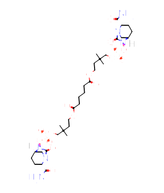 CC(C)(CCOC(=O)CCCCC(=O)OCCC(C)(C)COS(=O)(=O)ON1C(=O)N2C[C@H]1CC[C@H]2C(N)=O)COS(=O)(=O)ON1C(=O)N2C[C@H]1CC[C@H]2C(N)=O